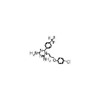 NC1=NC(c2ccc(C(F)(F)F)cc2)N(CCCOc2ccc(Cl)cc2)C(N)=N1